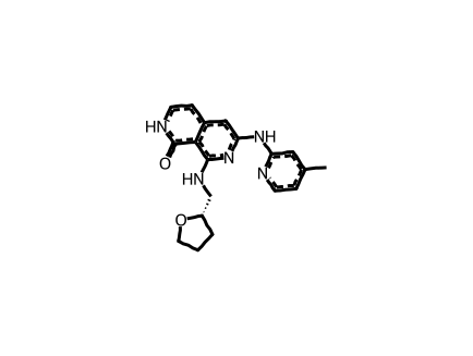 Cc1ccnc(Nc2cc3cc[nH]c(=O)c3c(NC[C@@H]3CCCO3)n2)c1